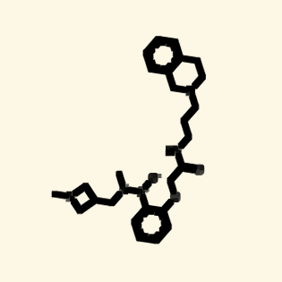 CN1CC(CN(C)[S+]([O-])c2ccccc2OCC(=O)NCCCN2CCc3ccccc3C2)C1